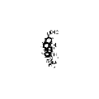 C[C@]12CC[C@H](OC=O)CC1=CC[C@@H]1C2CC[C@]2(C)C(OS(=O)(=O)C(F)(F)F)=CC[C@@H]12